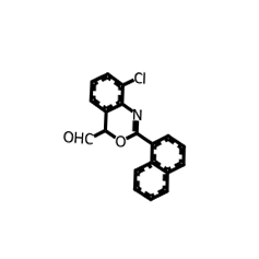 O=CC1OC(c2cccc3ccccc23)=Nc2c(Cl)cccc21